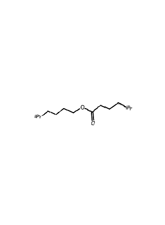 CC(C)CCCCOC(=O)CCCC(C)C